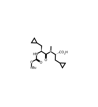 CCCCOC(=O)N[C@@H](CC1CC1)C(=O)N(C)[C@@H](CC1CC1)C(=O)O